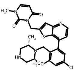 C[C@H]1CNC[C@H](C)N1Cc1c(Cl)cc(Cl)cc1-c1ccnc2cc(Cn3c(=O)ccn(C)c3=O)sc12